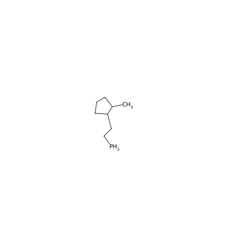 CC1CCCC1CCP